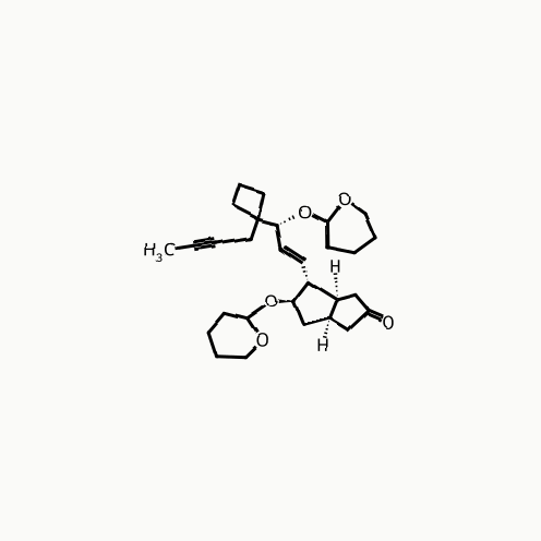 CC#CCC1([C@@H](/C=C/[C@@H]2[C@H]3CC(=O)C[C@H]3C[C@H]2OC2CCCCO2)OC2CCCCO2)CCC1